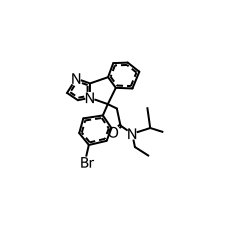 CCN(C(=O)CC1(c2ccc(Br)cc2)c2ccccc2-c2nccn21)C(C)C